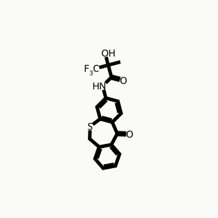 CC(O)(C(=O)Nc1ccc2c(c1)SCc1ccccc1C2=O)C(F)(F)F